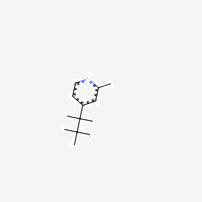 Cc1cc(C(C)(C)C(C)(C)C)ccn1